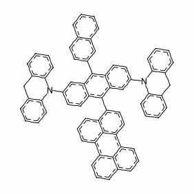 c1ccc2c(c1)Cc1ccccc1N2c1ccc2c(-c3ccc4c5cccc6cccc(c7cccc3c74)c65)c3cc(N4c5ccccc5Cc5ccccc54)ccc3c(-c3ccc4ccccc4c3)c2c1